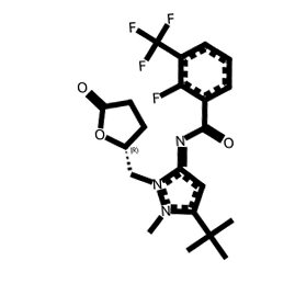 Cn1c(C(C)(C)C)cc(=NC(=O)c2cccc(C(F)(F)F)c2F)n1C[C@H]1CCC(=O)O1